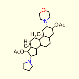 CC(=O)OC1CC2CCC3C(CC[C@@]4(C)C3C[C@H](N3CCCC3)[C@@H]4OC(C)=O)[C@@]2(C)C[C@@H]1N1CCOCC1